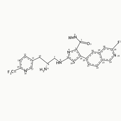 CNC(=O)c1nc(NC[C@H](N)Cc2ccc(C(F)(F)F)nc2)sc1-c1ccc2cnc(F)cc2c1